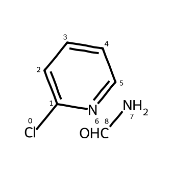 Clc1ccccn1.NC=O